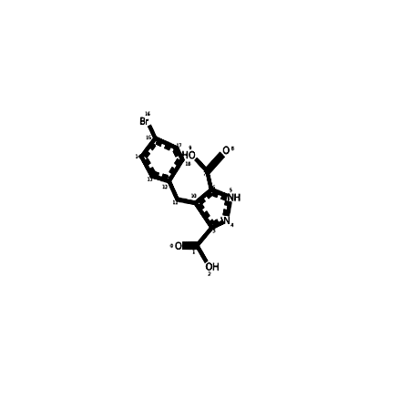 O=C(O)c1n[nH]c(C(=O)O)c1Cc1ccc(Br)cc1